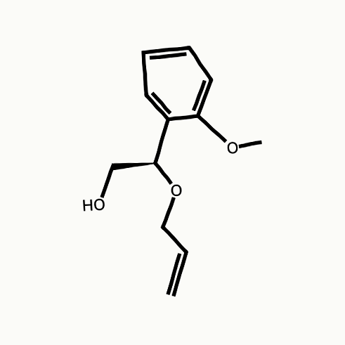 C=CCO[C@@H](CO)c1ccccc1OC